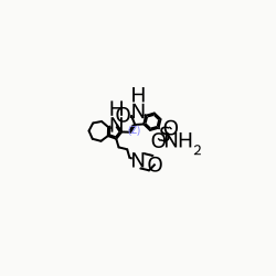 NS(=O)(=O)c1ccc2c(c1)/C(=C/c1[nH]c3c(c1CCCN1CCOCC1)CCCCC3)C(=O)N2